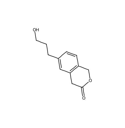 O=C1Cc2cc(CCCO)ccc2CO1